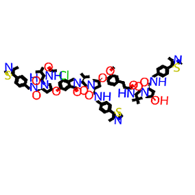 COc1cc(CCC(=O)N[C@H](C(=O)N2C[C@H](O)C[C@H]2C(=O)NCc2ccc(-c3scnc3C)cc2)C(C)(C)C)ccc1O[C@@H]1C[C@@H](C(=O)NCc2ccc(-c3scnc3C)cc2)N(C(=O)[C@H](C(C)C)N2Cc3c(Cl)cc(O[C@@H]4C[C@@H](C(=O)NCc5ccc(-c6scnc6C)cc5)N(C(=O)[C@@H](NC(C)=O)C(C)C)C4)cc3C2=O)C1